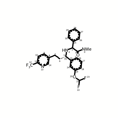 CNC(=O)C(N[C@@H](CCc1ccc(C(F)(F)F)nc1)c1cccc(OC(F)F)c1)c1ccccc1